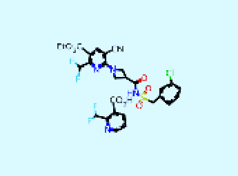 CCOC(=O)c1cc(C#N)c(N2CC(C(=O)NS(=O)(=O)Cc3cccc(Cl)c3)C2)nc1C(F)F.O=C(O)c1cccnc1C(F)F